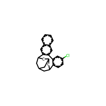 Clc1ccc2c(c1)-c1cc3ccccc3cc1C1CC3CC(CC2C3)C1